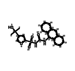 CC(C)(O)c1coc(S(=O)(=O)NC(=O)Nc2c3ccccc3cc3ccccc23)c1